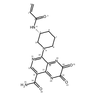 C=CC(=O)N[C@@H]1CCCN(c2ncc(C(N)=O)c3c2=NC(=O)C(=O)N=3)C1